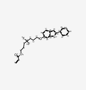 C=CC(=O)OCCCC(F)(F)CCCOc1ccc2cc(-c3cccnc3)sc2c1